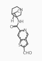 O=Cc1cc2cnc(C(=O)N[C@H]3CN4CCC3CC4)cc2s1